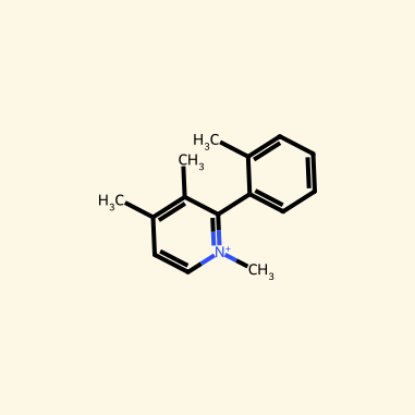 Cc1ccccc1-c1c(C)c(C)cc[n+]1C